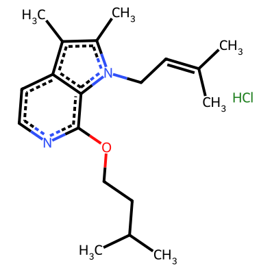 CC(C)=CCn1c(C)c(C)c2ccnc(OCCC(C)C)c21.Cl